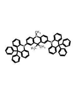 CN1c2ccc(N3c4ccccc4C(c4ccccc4)(c4ccccc4)c4ccccc43)cc2C(C)(C)c2cc(N3c4ccccc4C(c4ccccc4)(c4ccccc4)c4ccccc43)ccc21